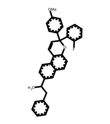 COc1ccc(C2(c3ccccc3F)C=Cc3c(ccc4cc(C(C)Cc5ccccc5)ccc34)O2)cc1